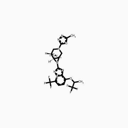 Cc1nnc(N2C[C@@H]3CC[C@]4(C2)[C@H]3N4c2nc3c(OC(C)C(F)(F)F)ccc(C(F)(F)F)n3n2)o1